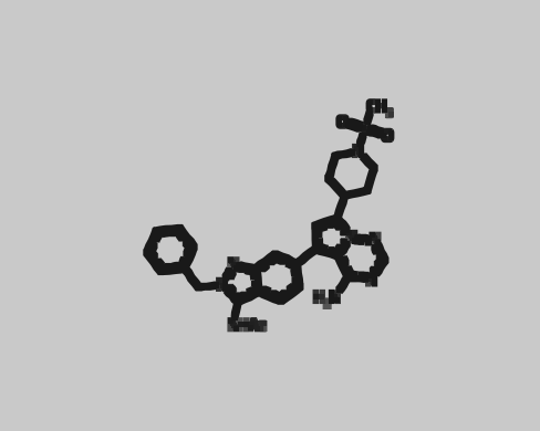 CC(=O)Nc1c2ccc(-c3cc(C4CCN(S(C)(=O)=O)CC4)n4ncnc(N)c34)cc2nn1Cc1ccccc1